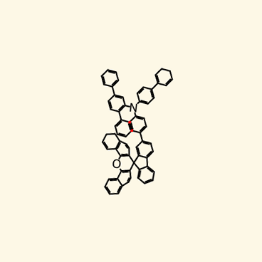 C1=CC(c2ccc(N(c3ccc(-c4ccc5c(c4)C4(c6ccccc6-5)c5ccc6c(c5Oc5c4ccc4ccccc54)C=CCC6)cc3)c3cc(-c4ccccc4)ccc3-c3ccccc3)cc2)=CCC1